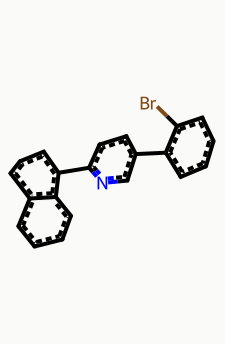 Brc1ccccc1-c1ccc(-c2cccc3ccccc23)nc1